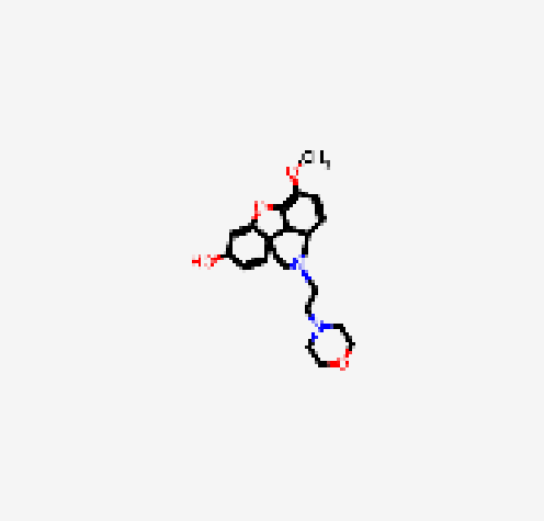 COC1=C2OC3=CC(O)C=CC34CCN(CCN3CCOCC3)CC(C=C1)C24